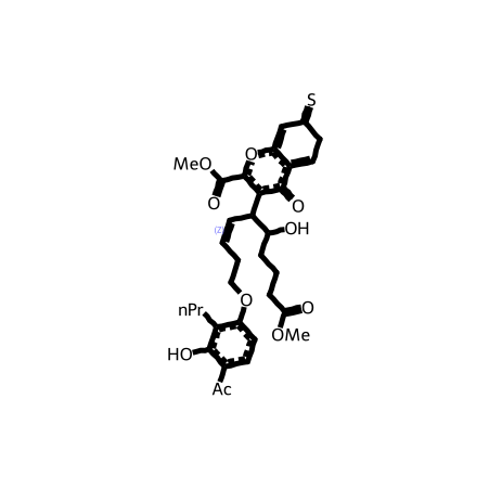 CCCc1c(OCC/C=C\C(c2c(C(=O)OC)oc3c(c2=O)=CCC(=S)C=3)C(O)CCCC(=O)OC)ccc(C(C)=O)c1O